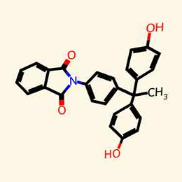 CC(c1ccc(O)cc1)(c1ccc(O)cc1)c1ccc(N2C(=O)c3ccccc3C2=O)cc1